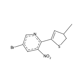 CC1C=C(c2ncc(Br)cc2[N+](=O)[O-])SC1